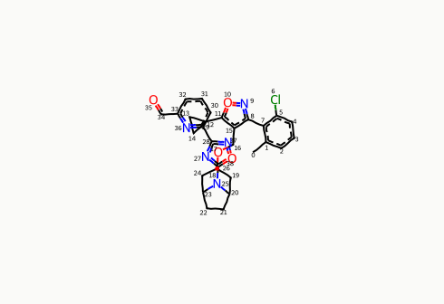 Cc1cccc(Cl)c1-c1noc(C2CC2)c1COC1CC2CCC(C1)N2c1nc(-c2cccc(C=O)n2)no1